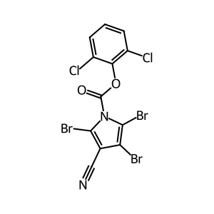 N#Cc1c(Br)c(Br)n(C(=O)Oc2c(Cl)cccc2Cl)c1Br